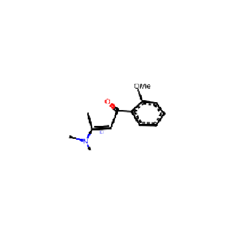 COc1ccccc1C(=O)/C=C(\C)N(C)C